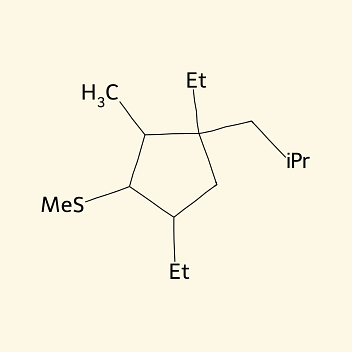 CCC1CC(CC)(CC(C)C)C(C)C1SC